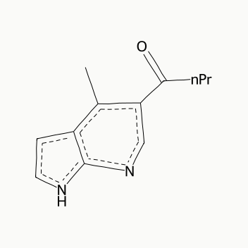 CCCC(=O)c1cnc2[nH]ccc2c1C